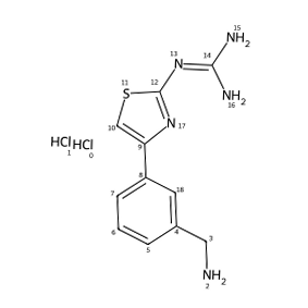 Cl.Cl.NCc1cccc(-c2csc(N=C(N)N)n2)c1